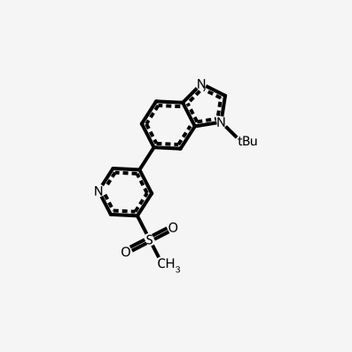 CC(C)(C)n1cnc2ccc(-c3cncc(S(C)(=O)=O)c3)cc21